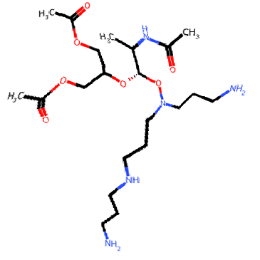 CC(=O)NC(C)[C@@H](OC(COC(C)=O)COC(C)=O)ON(CCCN)CCCNCCCN